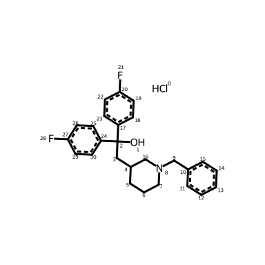 Cl.OC(CC1CCCN(Cc2ccccc2)C1)(c1ccc(F)cc1)c1ccc(F)cc1